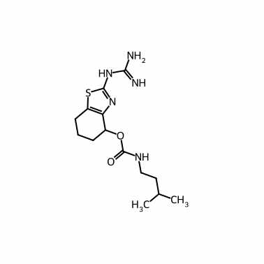 CC(C)CCNC(=O)OC1CCCc2sc(NC(=N)N)nc21